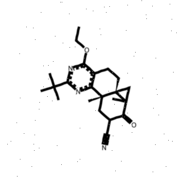 CCOc1nc(C(C)(C)C)nc2c1CC[C@@]13CC1(C)C(=O)C(C#N)C[C@]23C